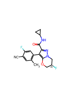 Cc1cc(C#N)c(F)cc1-c1c(C(=O)NC2CC2)nn2c1OC[C@H](F)C2